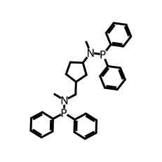 CN(CC1CCC(N(C)P(c2ccccc2)c2ccccc2)C1)P(c1ccccc1)c1ccccc1